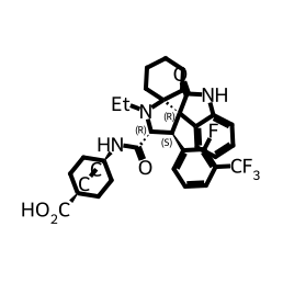 CCN1[C@@H](C(=O)N[C@]23CC[C@](C(=O)O)(CC2)CC3)[C@H](c2cccc(C(F)(F)F)c2F)[C@]2(C(=O)Nc3ccccc32)C12CCCCC2